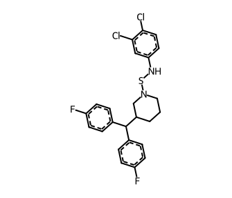 Fc1ccc(C(c2ccc(F)cc2)C2CCCN(SNc3ccc(Cl)c(Cl)c3)C2)cc1